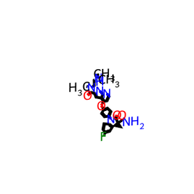 CN(C)CCN(C)C(=O)c1cc2c(Oc3ccc(N(C(=O)C4(C(N)=O)CC4)c4ccc(F)cc4)cc3)ccnc2[nH]1